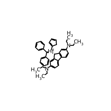 CCN(CC)c1ccc2c(c1)[CH]([Hf]([C]1=CC=CC1)=[C](c1ccccc1)c1ccccc1)c1cc(N(CC)CC)ccc1-2